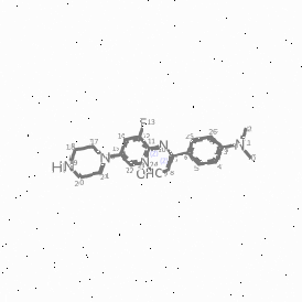 CN(C)c1ccc(C(=C/C=O)/N=c2/c(F)cc(N3CCNCC3)cn2C)cc1